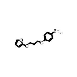 Bc1ccc(OCCCOc2ccco2)cc1